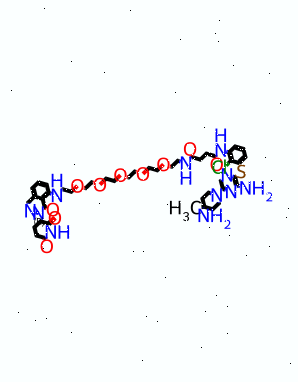 CC1(N)CCN(c2cnc(Sc3cccc(NC(=O)CCC(=O)NCCOCCOCCOCCOCCOCCNc4cccc5cnn([C@@H]6CCC(=O)NC6=O)c(=O)c45)c3Cl)c(N)n2)CC1